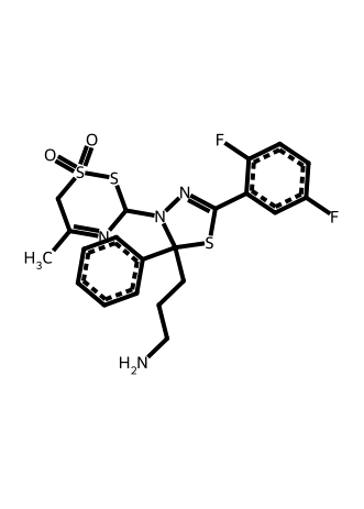 CC1=NC(N2N=C(c3cc(F)ccc3F)SC2(CCCN)c2ccccc2)SS(=O)(=O)C1